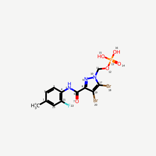 Cc1ccc(NC(=O)c2nn(COP(=O)(O)O)c(Br)c2Br)c(F)c1